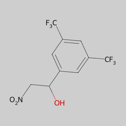 O=[N+]([O-])CC(O)c1cc(C(F)(F)F)cc(C(F)(F)F)c1